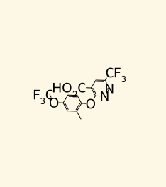 Cc1cc(OC(F)(F)F)ccc1Oc1nnc(C(F)(F)F)cc1C(=O)O